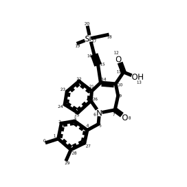 Cc1ccc(CN2C(=O)CC(C(=O)O)=C(C#C[Si](C)(C)C)c3ccccc32)cc1C